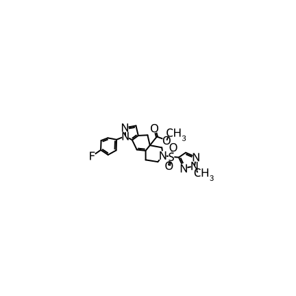 COC(=O)C12Cc3cnn(-c4ccc(F)cc4)c3C=C1CCN(S(=O)(=O)c1cnn(C)n1)C2